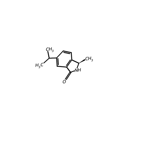 CC(C)c1ccc2c(c1)C(=O)N[C@@H]2C